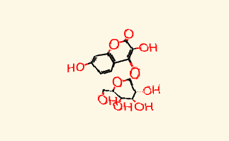 O=c1oc2cc(O)ccc2c(O[C@@H]2O[C@H](CO)[C@H](O)[C@H](O)[C@H]2O)c1O